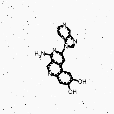 Nc1nc(-n2cnc3cnccc32)cc2c1cnc1cc(O)c(O)cc12